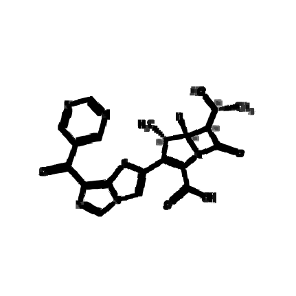 C[C@@H](O)[C@H]1C(=O)N2C(C(=O)O)=C(c3cn4cnc(C(=O)c5cncnc5)c4s3)[C@H](C)[C@H]12